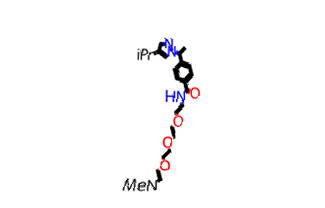 CNCCOCCOCCOCCNC(=O)c1ccc(C(C)n2cc(C(C)C)cn2)cc1